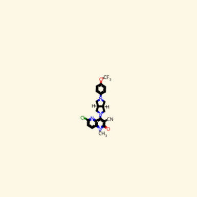 Cn1c(=O)c(C#N)c(N2C[C@H]3CN(c4ccc(OC(F)(F)F)cc4)C[C@H]3C2)c2nc(Cl)ccc21